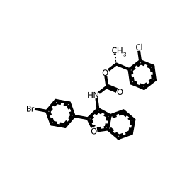 C[C@@H](OC(=O)Nc1c(-c2ccc(Br)cc2)oc2ccccc12)c1ccccc1Cl